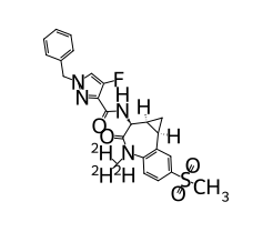 [2H]C([2H])([2H])N1C(=O)[C@@H](NC(=O)c2nn(Cc3ccccc3)cc2F)[C@H]2C[C@H]2c2cc(S(C)(=O)=O)ccc21